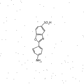 Nc1ccc(-c2nc3cc(S(=O)(=O)O)ccc3o2)cc1